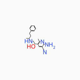 Cc1nc(N)c(C#N)cc1C(O)CNC(C)CCc1ccccc1